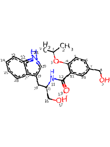 CC(C)Oc1ccc(CO)cc1C(=O)N[C@@H](CO)Cc1c[nH]c2ccccc12